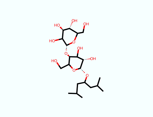 CC(C)CC(CC(C)C)O[C@@H]1OC(CO)[C@@H](O[C@H]2OC(CO)[C@@H](O)[C@H](O)C2O)C(O)[C@@H]1O